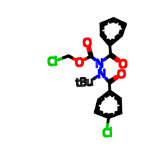 CC(C)(C)N(C(=O)c1ccc(Cl)cc1)N(C(=O)OCCl)C(=O)c1ccccc1